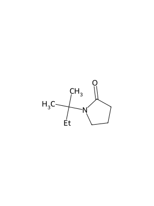 [CH2]CC(C)(C)N1CCCC1=O